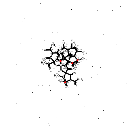 CC(=O)C(C(C)=O)C(=O)C([O][Ti]([O]C(C(C)=O)(C(C)=O)C(=O)C(C(C)=O)C(C)=O)([O]C(C(C)=O)(C(C)=O)C(=O)C(C(C)=O)C(C)=O)[O]C(C(C)=O)(C(C)=O)C(=O)C(C(C)=O)C(C)=O)(C(C)=O)C(C)=O